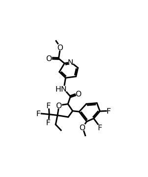 CCC1(C(F)(F)F)CC(c2ccc(F)c(F)c2OC)C(C(=O)Nc2ccnc(C(=O)OC)c2)O1